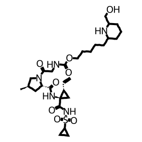 C=C[C@@H]1C[C@]1(NC(=O)[C@@H]1C[C@@H](C)CN1C(=O)CNC(=O)OCCCCCC1CCCC(CO)N1)C(=O)NS(=O)(=O)C1CC1